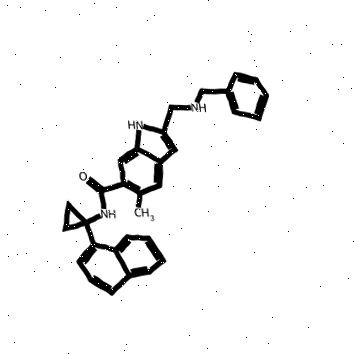 Cc1cc2cc(CNCc3ccccc3)[nH]c2cc1C(=O)NC1(c2cccc3ccccc23)CC1